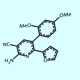 COc1ccc(-c2cc(C#N)c(N)nc2-c2ccco2)c(OC)c1